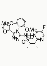 COc1cccc(OC)c1-n1c(NS(=O)(=O)[C@@H](C)[C@@H](C)c2ncc(F)cn2)nnc1-c1ccco1